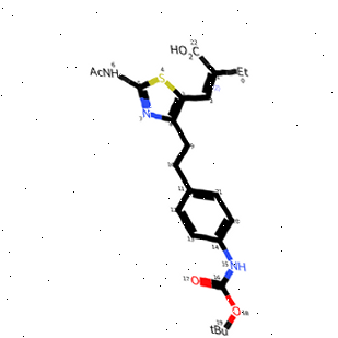 CC/C(=C/c1sc(NC(C)=O)nc1CCc1ccc(NC(=O)OC(C)(C)C)cc1)C(=O)O